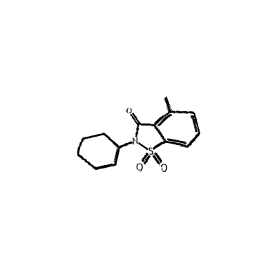 Cc1cccc2c1C(=O)N(C1CCCCC1)S2(=O)=O